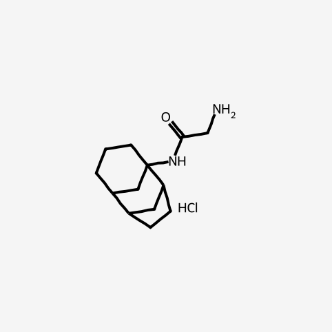 Cl.NCC(=O)NC12CCCC(C1)C1CCC2C1